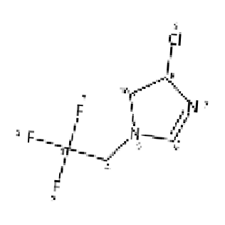 FC(F)(F)CN1[C]=NC(Cl)[CH]1